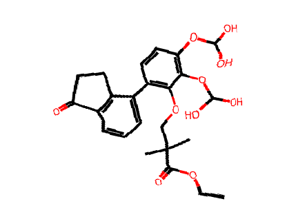 CCOC(=O)C(C)(C)COc1c(-c2cccc3c2CCC3=O)ccc(OC(O)O)c1OC(O)O